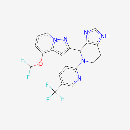 FC(F)Oc1cccn2nc(C3c4nc[nH]c4CCN3c3ccc(C(F)(F)F)cn3)cc12